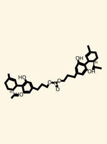 C=C(C)[C@@H]1CCC(C)=CC1c1c(O)cc(CCCO[N+](=O)OCCCc2cc(O)c(C3C=C(C)CC[C@H]3C(=C)C)c(O)c2)cc1O